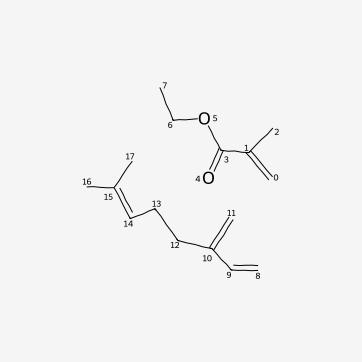 C=C(C)C(=O)OCC.C=CC(=C)CCC=C(C)C